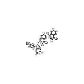 CC(O)Cc1nc2n(c1-c1ccc(Br)o1)CCN(C(=O)c1cc(Cc3n[nH]c(=O)c4ccccc34)ccc1F)C2